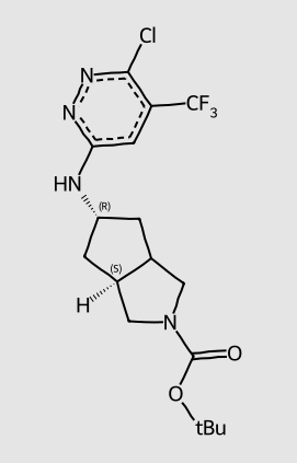 CC(C)(C)OC(=O)N1CC2C[C@@H](Nc3cc(C(F)(F)F)c(Cl)nn3)C[C@@H]2C1